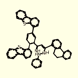 N=C(/C=C(\NNc1ccccc1)c1cccc2c1CCc1ccccc1-2)C1C=C(c2cccc3c2sc2ccccc23)C=CC1c1cccc2c1sc1ccccc12